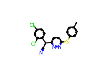 Cc1ccc(Sc2ccc(C(C#N)c3ccc(Cl)cc3Cl)nn2)cc1